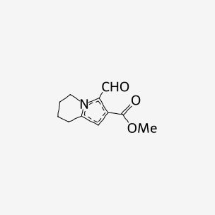 COC(=O)c1cc2n(c1C=O)CCCC2